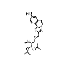 C=NC(CSCc1nc2ccc3cc(O)ccc3c2s1)C(OC(C)C)OC(C)C